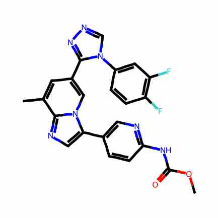 COC(=O)Nc1ccc(-c2cnc3c(C)cc(-c4nncn4-c4ccc(F)c(F)c4)cn23)cn1